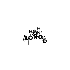 C=CS(=O)(=O)N[C@H]1CC[C@@H](n2nc(-c3ccc(Oc4ccccn4)cc3)c3c(N)n[nH]c(=O)c32)CC1